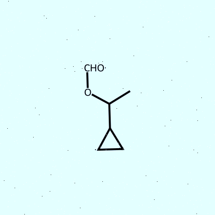 CC(O[C]=O)C1[CH]C1